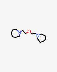 C1CCCN(CCOCCN2CCCCCC2)CC1